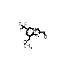 COCc1cc(C(F)(F)F)cn2cc(C=O)nc12